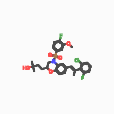 COc1cc(S(=O)(=O)N2C[C@H](CCC(C)(C)O)Oc3ccc(/C=C(\C)c4c(F)cccc4Cl)cc32)ccc1F